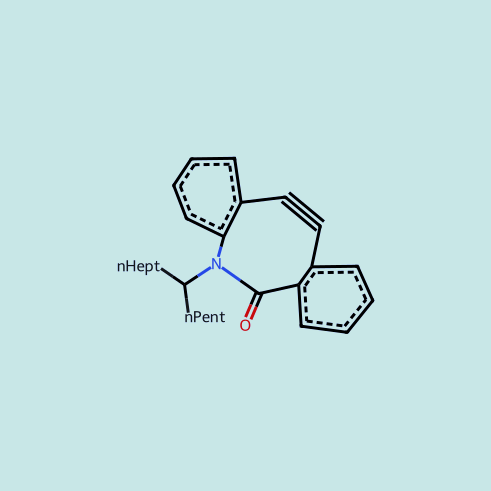 CCCCCCCC(CCCCC)N1C(=O)c2ccccc2C#Cc2ccccc21